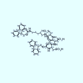 O=C(NCCCCCNC(=O)C(CS(=O)(=O)O)NC(=O)C(CS(=O)(=O)O)NC(=O)C(CS(=O)(=O)O)NC(=O)OCC1c2ccccc2-c2ccccc21)OCC1c2ccccc2-c2ccccc21